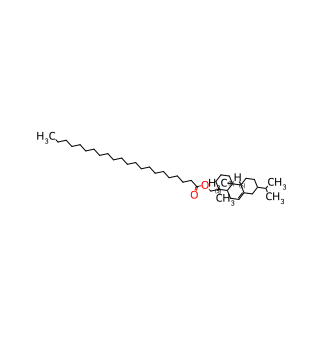 CCCCCCCCCCCCCCCCCCCCCC(=O)OC[C@@]1(C)CCC[C@@]2(C)C1CC=C1CC(C(C)C)CC[C@H]12